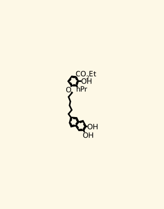 CCCc1c(OCCCCCCc2ccc3cc(O)c(O)cc3c2)ccc(C(=O)OCC)c1O